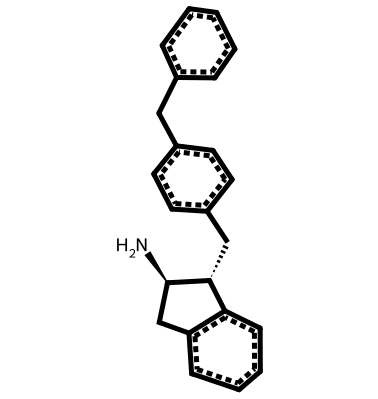 N[C@@H]1Cc2ccccc2[C@H]1Cc1ccc(Cc2ccccc2)cc1